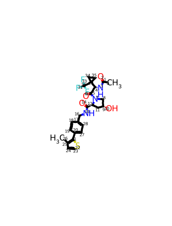 CC(=O)N[C@H](C(=O)N1C[C@H](O)C[C@H]1C(=O)NCc1ccc(-c2sccc2C)cc1)C1(C(F)(F)F)CC1